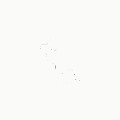 CN1CCN(CCCN2CCC(I)CC2)C1=O